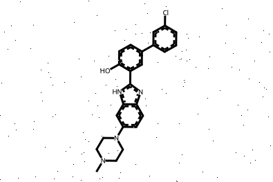 CN1CCN(c2ccc3nc(-c4cc(-c5cccc(Cl)c5)ccc4O)[nH]c3c2)CC1